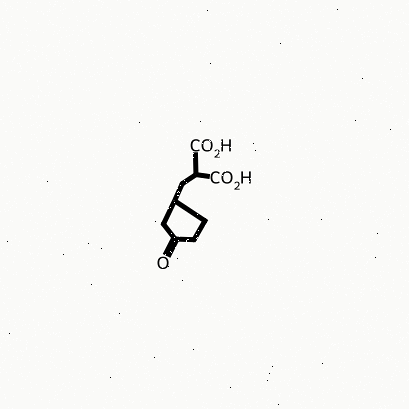 O=C1CCC(CC(C(=O)O)C(=O)O)C1